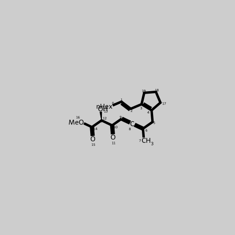 CCCCCC/C=C/C1=C(CC(C)=C=CC(=O)[C@H](O)C(=O)OC)CCC1